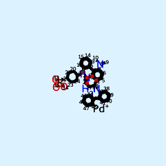 CN(C)c1cccc(N(C)C)c1-c1ccccc1P(C1CCCCC1)C1CCCCC1.CS(=O)(=O)[O-].Nc1ccccc1-c1cccc[c]1[Pd+]